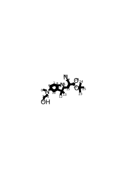 CN(CCO)c1ccc2c(c1)C(C)(C)C(/C=C(\C#N)C(=O)OC(C)(C)C)=N2